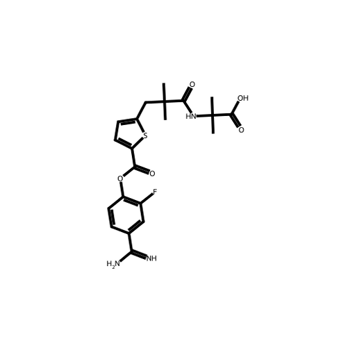 CC(C)(Cc1ccc(C(=O)Oc2ccc(C(=N)N)cc2F)s1)C(=O)NC(C)(C)C(=O)O